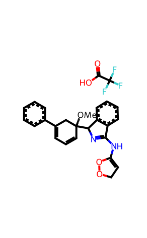 COC1(C2N=C(NC3=CCOO3)c3ccccc32)C=CC=C(c2ccccc2)C1.O=C(O)C(F)(F)F